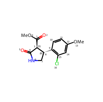 COC(=O)[C@@H]1C(=O)NC[C@H]1c1ccc(OC)cc1Cl